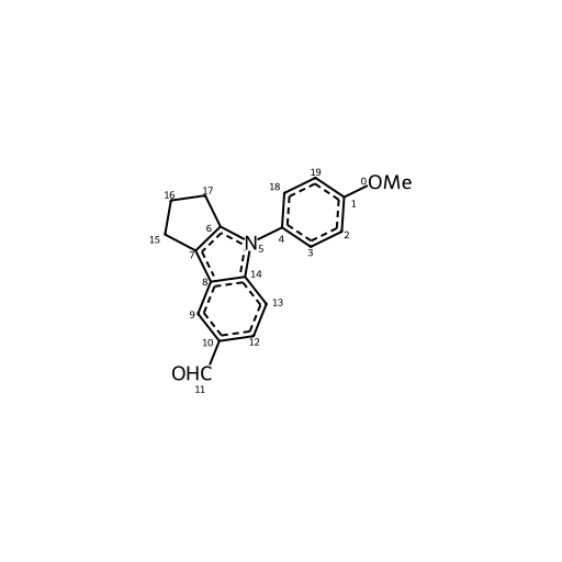 COc1ccc(-n2c3c(c4cc(C=O)ccc42)CCC3)cc1